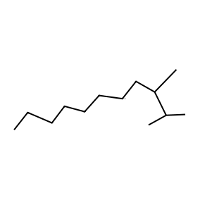 CCCCCC[CH]CC(C)C(C)C